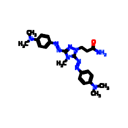 CN(C)c1ccc(N=Nc2nn(CCC(N)=O)c(N=Nc3ccc(N(C)C)cc3)[n+]2C)cc1